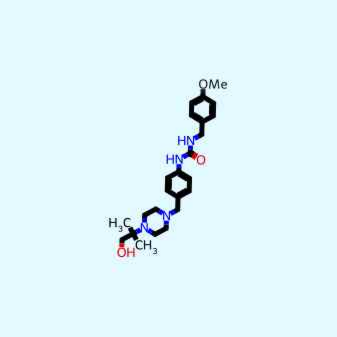 COc1ccc(CNC(=O)Nc2ccc(CN3CCN(C(C)(C)CO)CC3)cc2)cc1